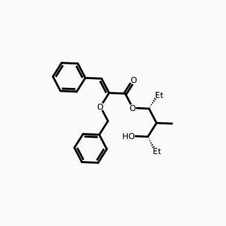 CC[C@H](O)C(C)[C@@H](CC)OC(=O)C(=Cc1ccccc1)OCc1ccccc1